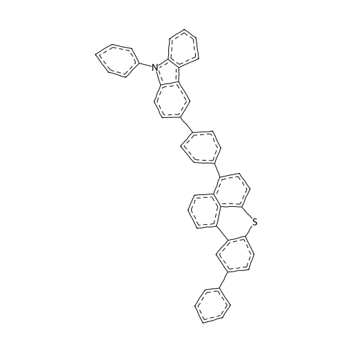 c1ccc(-c2ccc3c(c2)-c2cccc4c(-c5ccc(-c6ccc7c(c6)c6ccccc6n7-c6ccccc6)cc5)ccc(c24)S3)cc1